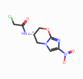 O=C(CCl)N[C@@H]1COc2nc([N+](=O)[O-])cn2C1